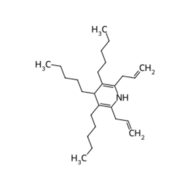 C=CCC1=C(CCCCC)C(CCCCC)C(CCCCC)=C(CC=C)N1